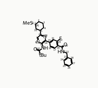 CS[C@@H]1CCCC(c2cnc(NC(=O)C(C)(C)C)c(-c3ccc(C(=O)NCc4ccccc4)c(F)c3)n2)C1